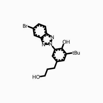 CC(C)(C)c1cc(CCCO)cc(-n2nc3ccc(Br)cc3n2)c1O